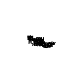 CC(C)(SCc1ccccn1)[C@H](C(N)=O)N(O)S(=O)(=O)c1ccc(Oc2ccc(Br)cc2)cc1